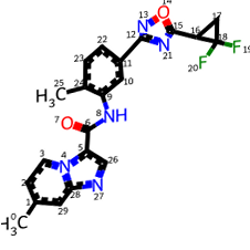 Cc1ccn2c(C(=O)Nc3cc(-c4noc(C5CC5(F)F)n4)ccc3C)cnc2c1